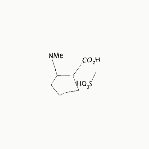 CNC1CCCC1C(=O)O.CS(=O)(=O)O